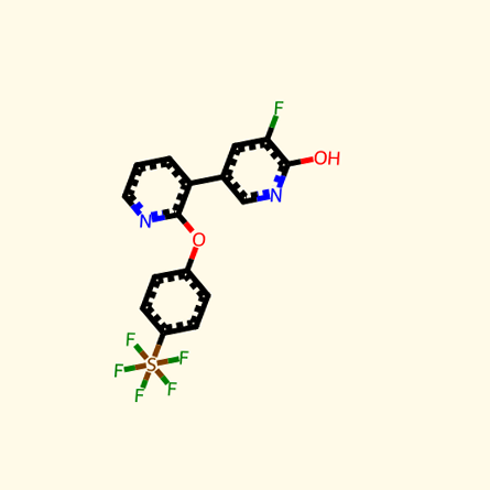 Oc1ncc(-c2cccnc2Oc2ccc(S(F)(F)(F)(F)F)cc2)cc1F